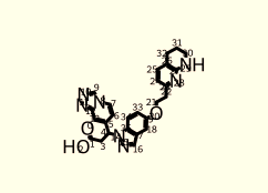 O=C(O)CC(c1ccn2cnnc2c1)n1ncc2cc(OCCc3ccc4c(n3)NCCC4)ccc21